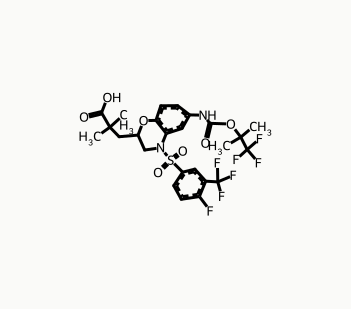 CC(C)(CC1CN(S(=O)(=O)c2ccc(F)c(C(F)(F)F)c2)c2cc(NC(=O)OC(C)(C)C(F)(F)F)ccc2O1)C(=O)O